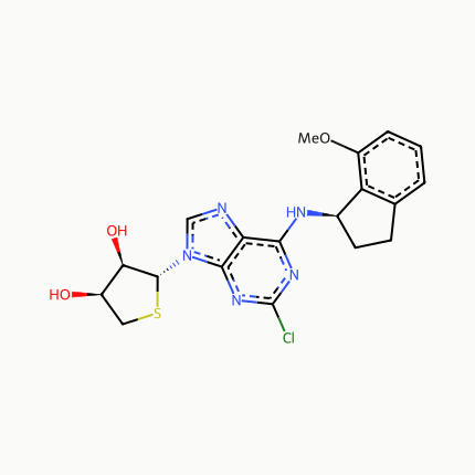 COc1cccc2c1[C@H](Nc1nc(Cl)nc3c1ncn3[C@@H]1SC[C@@H](O)[C@H]1O)CC2